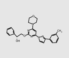 Cc1cccc(-c2ccn(-c3cc(N4CCOCC4)nc(OC[C@H](O)c4ccccc4)n3)n2)c1